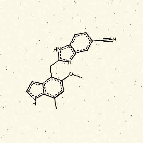 COc1cc(C)c2[nH]ccc2c1Cc1nc2cc(C#N)ccc2[nH]1